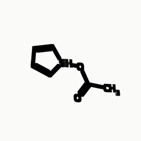 CC(=O)O[SiH]1C=CC=C1